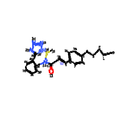 CCCCCc1ccc(/C=C/C(=O)N(SC)c2ccccc2-c2nnn[nH]2)cc1